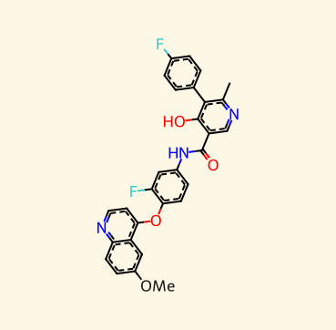 COc1ccc2nccc(Oc3ccc(NC(=O)c4cnc(C)c(-c5ccc(F)cc5)c4O)cc3F)c2c1